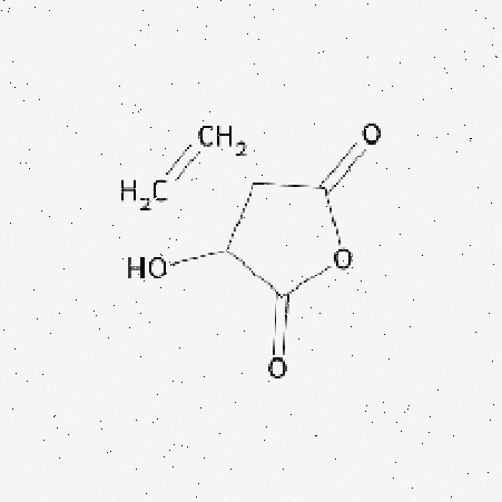 C=C.O=C1CC(O)C(=O)O1